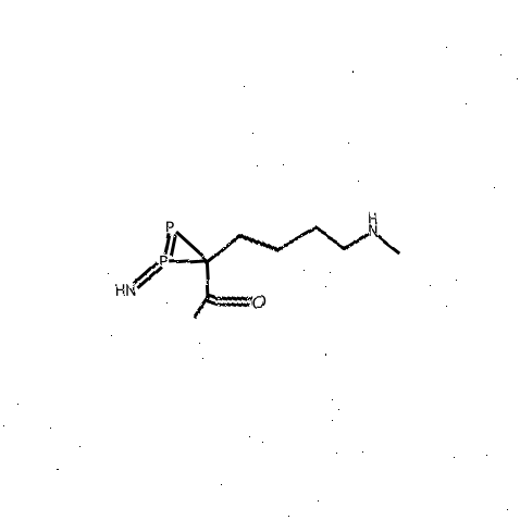 CNCCCCC1(C(C)=O)P=P1=N